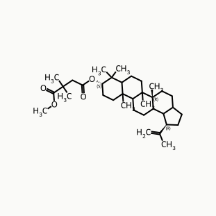 C=C(C)[C@@H]1CCC2CC[C@]3(C)C(CCC4C5(C)CC[C@H](OC(=O)CC(C)(C)C(=O)OC)C(C)(C)C5CCC43C)C21